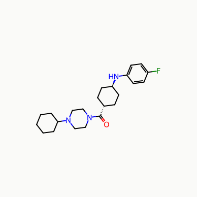 O=C([C@H]1CC[C@H](Nc2ccc(F)cc2)CC1)N1CCN(C2CCCCC2)CC1